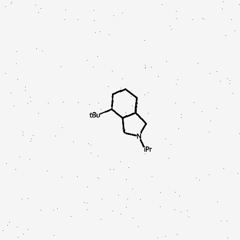 CC(C)N1CC2CCCC(C(C)(C)C)C2C1